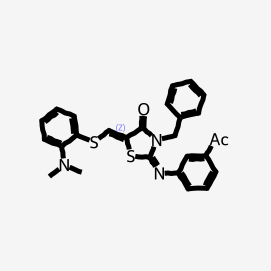 CC(=O)c1cccc(N=C2S/C(=C\Sc3ccccc3N(C)C)C(=O)N2Cc2ccccc2)c1